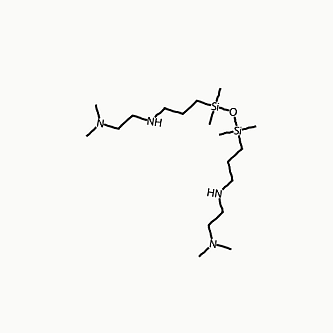 CN(C)CCNCCC[Si](C)(C)O[Si](C)(C)CCCNCCN(C)C